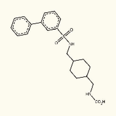 O=C(O)NCC1CCC(CNS(=O)(=O)c2cccc(-c3ccccc3)c2)CC1